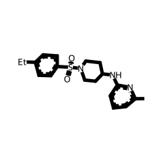 CCc1ccc(S(=O)(=O)N2CCC(Nc3cccc(C)n3)CC2)cc1